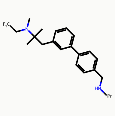 CC(C)NCc1ccc(-c2cccc(CC(C)(C)N(C)CC(F)(F)F)c2)cc1